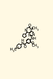 COc1cc(C(=O)NC2CCN(C)CC2)ccc1Nc1ncc2c(n1)C(C1CCCC1)=NCC(=O)N2C